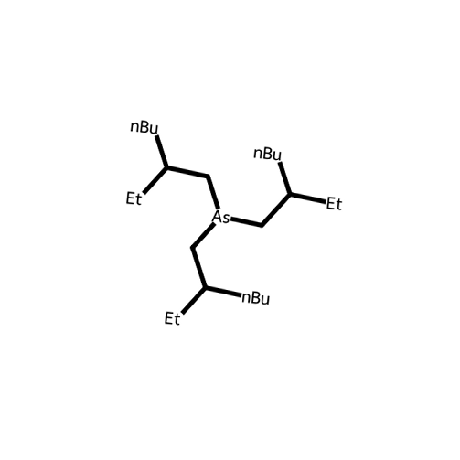 CCCCC(CC)C[As](CC(CC)CCCC)CC(CC)CCCC